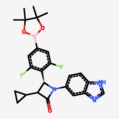 CC1(C)OB(c2cc(F)c([C@H]3C(C4CC4)C(=O)N3c3ccc4[nH]cnc4c3)c(F)c2)OC1(C)C